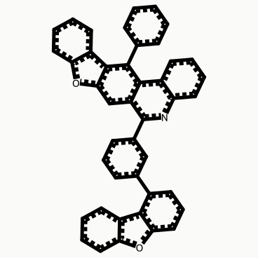 c1ccc(-c2c3c(cc4c(-c5cccc(-c6cccc7oc8ccccc8c67)c5)nc5ccccc5c24)oc2ccccc23)cc1